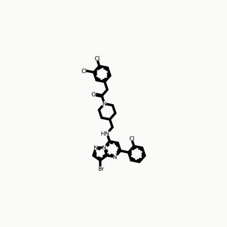 O=C(Cc1ccc(Cl)c(Cl)c1)N1CCC(CNc2cc(-c3ccccc3Cl)nc3c(Br)cnn23)CC1